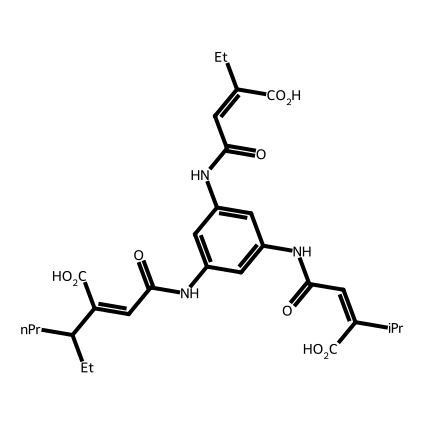 CCCC(CC)/C(=C/C(=O)Nc1cc(NC(=O)/C=C(/CC)C(=O)O)cc(NC(=O)/C=C(\C(=O)O)C(C)C)c1)C(=O)O